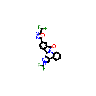 O=C1c2cc(-c3nnc(C(F)F)o3)ccc2CN1c1ccccc1-c1cnn(C(F)F)c1